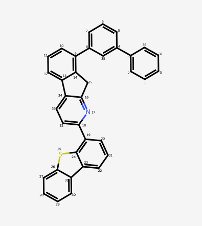 c1ccc(-c2cccc(-c3cccc4c3Cc3nc(-c5cccc6c5sc5ccccc56)ccc3-4)c2)cc1